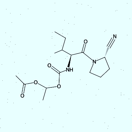 CCC(C)[C@H](NC(=O)OC(C)OC(C)=O)C(=O)N1CCC[C@H]1C#N